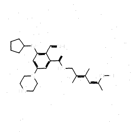 C/C(=C/C(C)=C(\C)CNC(=O)c1cc(N2CCNCC2)cc(NC2CCCC2)c1C=N)NC=O